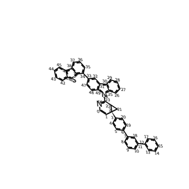 C1=C[C@@]2(c3ccc(-c4cccc(-c5ccccc5)c4)cc3)CC2C(n2c3ccccc3c3cc(-c4cccc5c4sc4ccccc45)ccc32)=N1